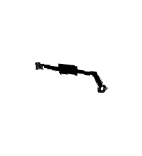 [O]CC#CBr